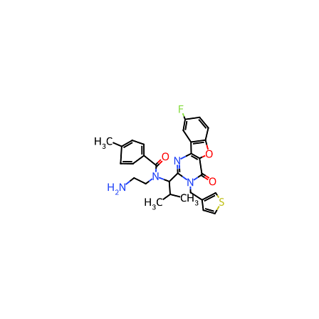 Cc1ccc(C(=O)N(CCN)C(c2nc3c(oc4ccc(F)cc43)c(=O)n2Cc2ccsc2)C(C)C)cc1